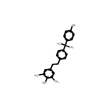 Cc1cc(CCc2ccc(C(C)(C)c3ccc(O)cc3)cc2)cc(C)c1O